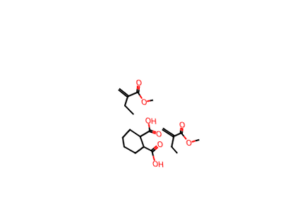 C=C(CC)C(=O)OC.C=C(CC)C(=O)OC.O=C(O)C1CCCCC1C(=O)O